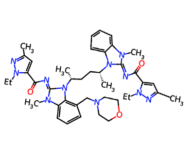 CCn1nc(C)cc1C(=O)N=c1n(C)c2cccc(CN3CCOCC3)c2n1[C@H](C)CC[C@@H](C)n1/c(=N/C(=O)c2cc(C)nn2CC)n(C)c2ccccc21